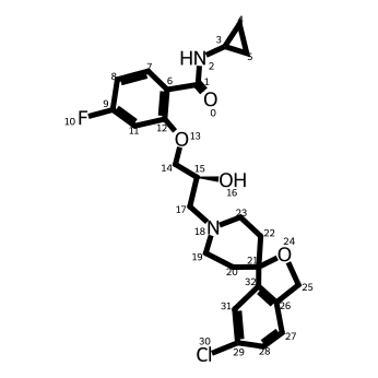 O=C(NC1CC1)c1ccc(F)cc1OC[C@@H](O)CN1CCC2(CC1)OCc1ccc(Cl)cc12